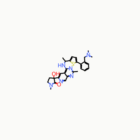 Cc1nc(NC(C)c2ccc(-c3ccccc3CN(C)C)s2)c2cc(C3(O)CCN(C)C3=O)ncc2n1